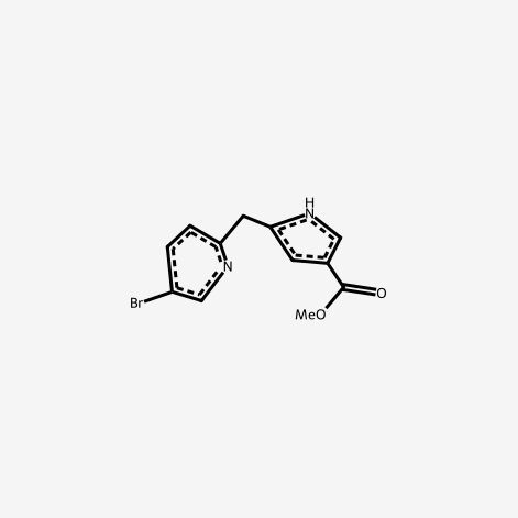 COC(=O)c1c[nH]c(Cc2ccc(Br)cn2)c1